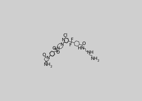 NCCNCCNC(=O)C1CCC(C(F)(F)c2cc(Cl)nc(N3CCN(S(=O)(=O)c4ccc(N5C[C@H](N)CC5=O)cc4)CC3)c2)CC1